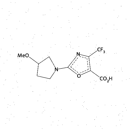 COC1CCN(c2nc(C(F)(F)F)c(C(=O)O)o2)C1